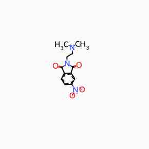 CN(C)CCN1C(=O)c2ccc([N+](=O)[O-])cc2C1=O